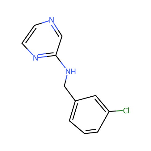 Clc1cccc(CNc2cnccn2)c1